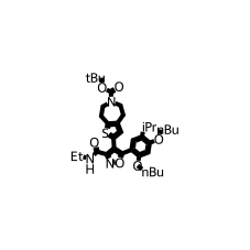 CCCCOc1cc(OCCCC)c(C(C)C)cc1-c1onc(C(=O)NCC)c1-c1cc2c(s1)CCN(C(=O)OC(C)(C)C)CC2